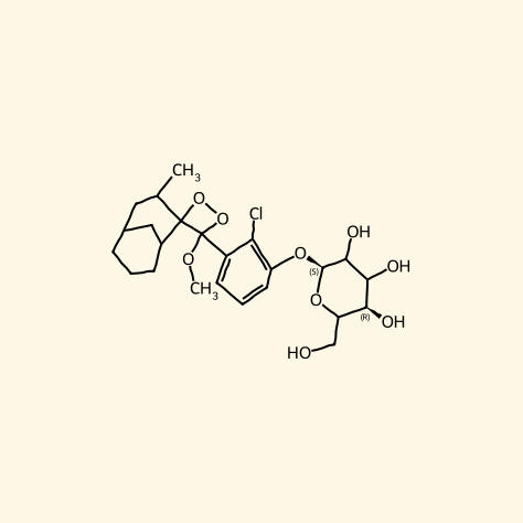 COC1(c2cccc(O[C@@H]3OC(CO)[C@H](O)C(O)C3O)c2Cl)OOC12C(C)CC1CCCC2C1